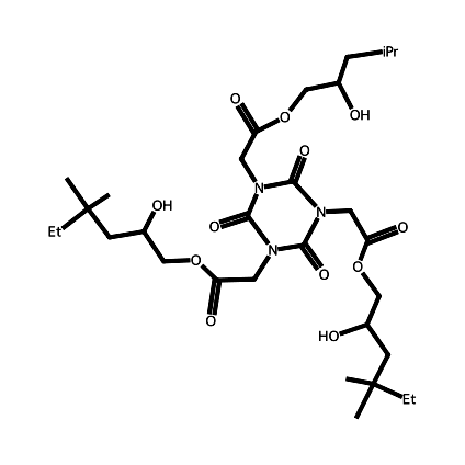 CCC(C)(C)CC(O)COC(=O)Cn1c(=O)n(CC(=O)OCC(O)CC(C)C)c(=O)n(CC(=O)OCC(O)CC(C)(C)CC)c1=O